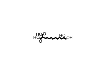 O=C(O)C(CCCCCCCCCC(O)CO)C(=O)O